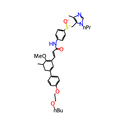 CCCCOCCOc1ccc(C2=CC(/C=C/C(=O)Nc3ccc([S+]([O-])Cc4c(C)ncn4CCC)cc3)=C(OC)C(C)C2)cc1